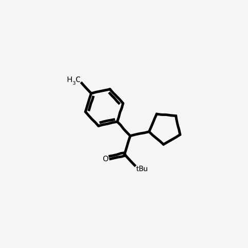 Cc1ccc(C(C(=O)C(C)(C)C)C2CCCC2)cc1